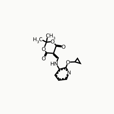 CC1(C)OC(=O)C(=CNc2cccnc2OC2CC2)C(=O)O1